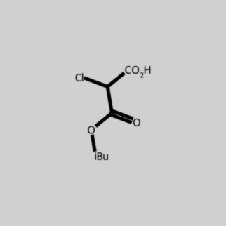 CCC(C)OC(=O)C(Cl)C(=O)O